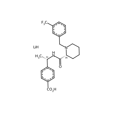 C[C@H](NC(=O)[C@H]1CCCCN1Cc1cccc(C(F)(F)F)c1)c1ccc(C(=O)O)cc1.[LiH]